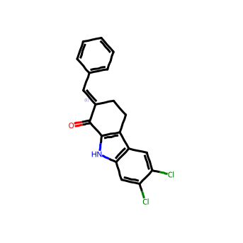 O=C1/C(=C/c2ccccc2)CCc2c1[nH]c1cc(Cl)c(Cl)cc21